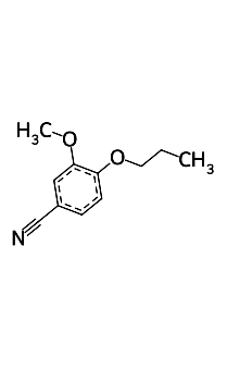 CCCOc1ccc(C#N)cc1OC